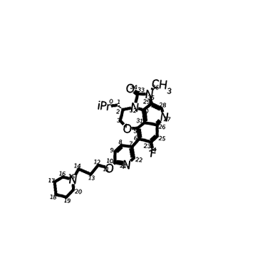 CC(C)C[C@H]1COc2c(-c3ccc(OCCCN4CCCCC4)nc3)c(F)cc3ncc4c(c23)n1c(=O)n4C